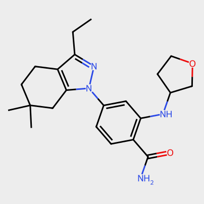 CCc1nn(-c2ccc(C(N)=O)c(NC3CCOC3)c2)c2c1CCC(C)(C)C2